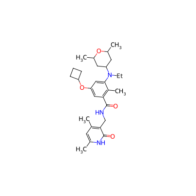 CCN(c1cc(OC2CCC2)cc(C(=O)NCc2c(C)cc(C)[nH]c2=O)c1C)C1CC(C)OC(C)C1